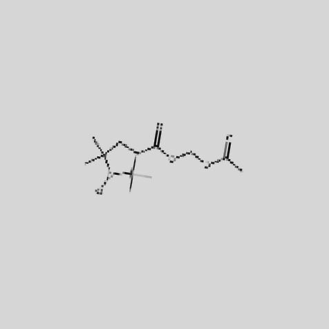 CC(=O)OCOC(=O)C1CC(C)(C)N([O])C1(C)C